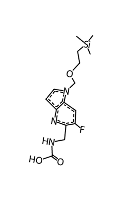 C[Si](C)(C)CCOCn1ccc2nc(CNC(=O)O)c(F)cc21